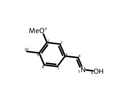 COc1cc(/C=N/O)ccc1C